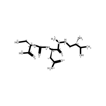 CC(O)[C@@H](N)CNN(C)C(=S)[C@@H](CC(N)=O)NC(=O)N[C@H](CO)C(=O)O